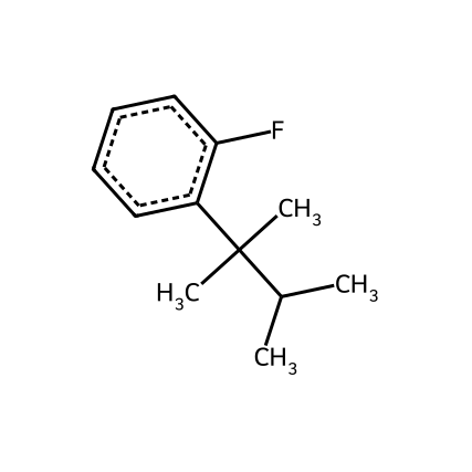 CC(C)C(C)(C)c1ccccc1F